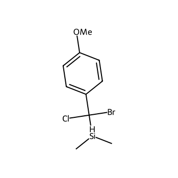 COc1ccc(C(Cl)(Br)[SiH](C)C)cc1